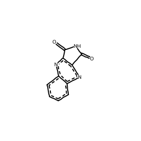 O=C1NC(=O)c2nc3ccccc3nc21